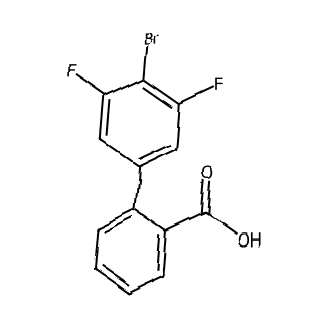 O=C(O)c1ccccc1-c1cc(F)c(Br)c(F)c1